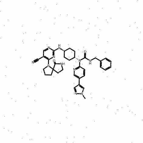 Cn1cc(-c2ccc(N(C(=O)NCc3ccccc3)[C@H]3CC[C@H](Nc4ncc(C#N)c(N5CCCC56CCNC6=O)n4)CC3)nc2)cn1